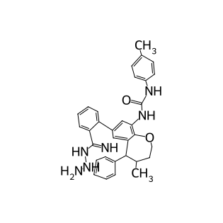 Cc1ccc(NC(=O)Nc2cc(-c3ccccc3C(=N)NNN)cc3c2OCCC(C)C3c2ccccc2)cc1